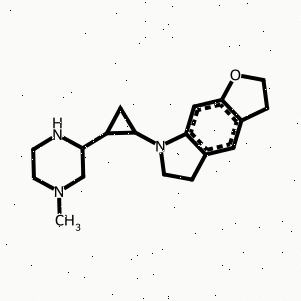 CN1CCNC(C2CC2N2CCc3cc4c(cc32)OCC4)C1